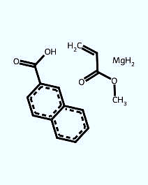 C=CC(=O)OC.O=C(O)c1ccc2ccccc2c1.[MgH2]